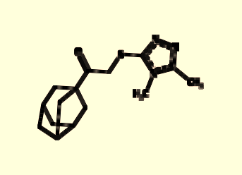 Cc1nnc(SCC(=O)C23CC4CC(C2)C(C4)C3)n1C